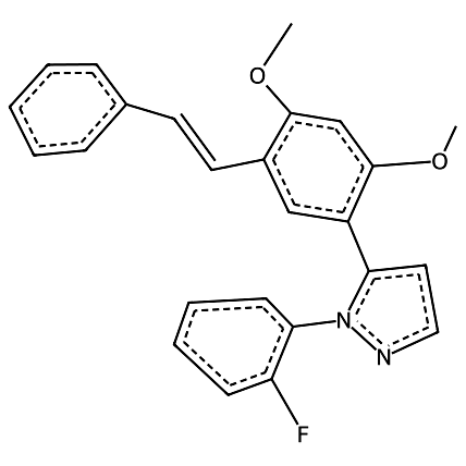 COc1cc(OC)c(-c2ccnn2-c2ccccc2F)cc1C=Cc1ccccc1